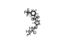 CCNC(=O)NO[C@@H]1CCN(S(=O)(=O)c2cccc(C(F)(F)F)c2)C1